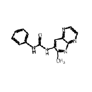 Cc1nc2nccnc2cc1NC(=O)Nc1ccccc1